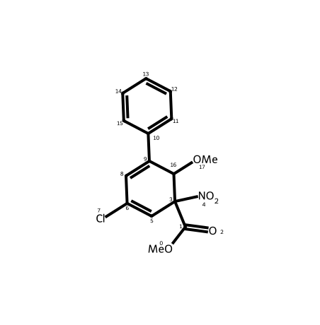 COC(=O)C1([N+](=O)[O-])C=C(Cl)C=C(c2ccccc2)C1OC